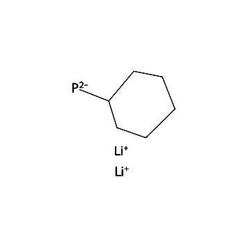 [Li+].[Li+].[P-2]C1CCCCC1